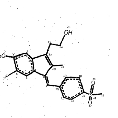 COc1cc2c(cc1F)C(=Cc1ccc(S(C)(=O)=O)cc1)C(C)=C2CCO